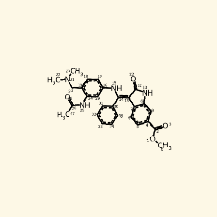 COC(=O)c1ccc2c(c1)NC(=O)/C2=C(\Nc1ccc(CN(C)C)c(NC(C)=O)c1)c1ccccc1